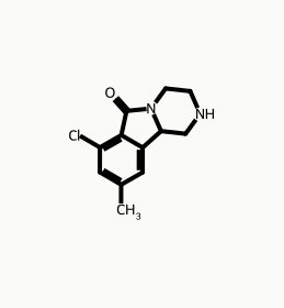 Cc1cc(Cl)c2c(c1)C1CNCCN1C2=O